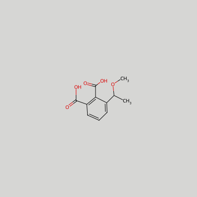 COC(C)c1cccc(C(=O)O)c1C(=O)O